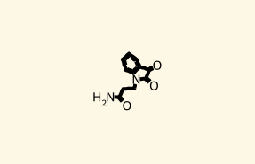 NC(=O)CCN1C(=O)C(=O)c2ccccc21